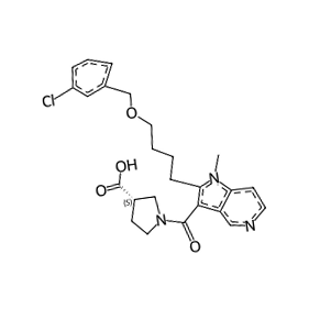 Cn1c(CCCCOCc2cccc(Cl)c2)c(C(=O)N2CC[C@H](C(=O)O)C2)c2cnccc21